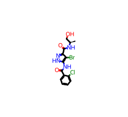 C[C@H](CO)NC(=O)c1n[nH]c(NC(=O)c2ccccc2Cl)c1Br